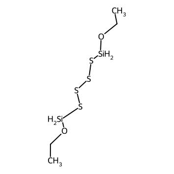 CCO[SiH2]SSSS[SiH2]OCC